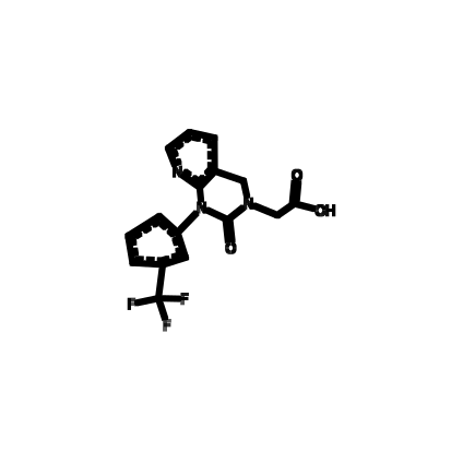 O=C(O)CN1Cc2cccnc2N(c2cccc(C(F)(F)F)c2)C1=O